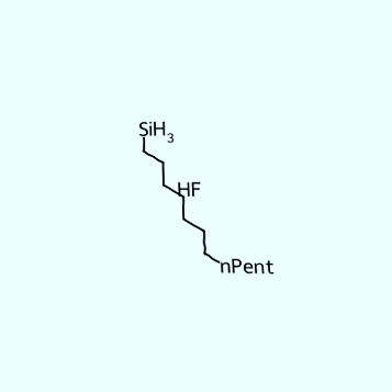 CCCCCCCCCCCC[SiH3].F